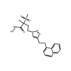 CC(CCn1cc(COc2cccc3ccccc23)nn1)(C(=O)NO)S(C)(=O)=O